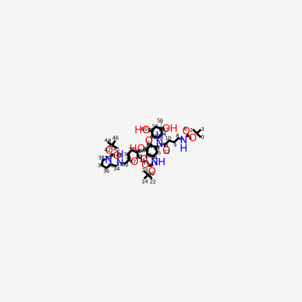 CC(C)(C)OC(=O)NCCCC(=O)N[C@@H]1C[C@H](NC(=O)OC(C)(C)C)[C@@H](O[C@@H]2CCC=C(CNCC3CCCN3C(=O)OC(C)(C)C)O2)[C@H](O)[C@H]1O[C@H]1CC[C@](C)(O)C[C@H]1O